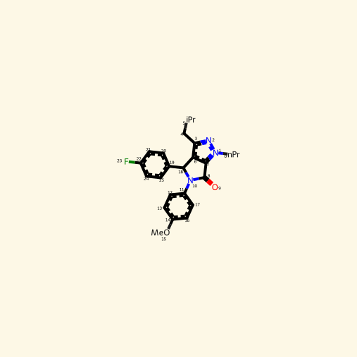 CCCn1nc(CC(C)C)c2c1C(=O)N(c1ccc(OC)cc1)C2c1ccc(F)cc1